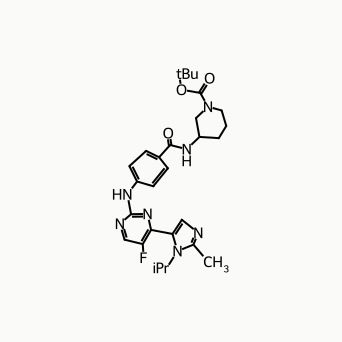 Cc1ncc(-c2nc(Nc3ccc(C(=O)NC4CCCN(C(=O)OC(C)(C)C)C4)cc3)ncc2F)n1C(C)C